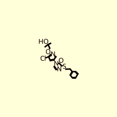 CC(C)(O)COc1ncc(-n2ccnc(SCCc3ccccc3)c2=O)cc1Cl